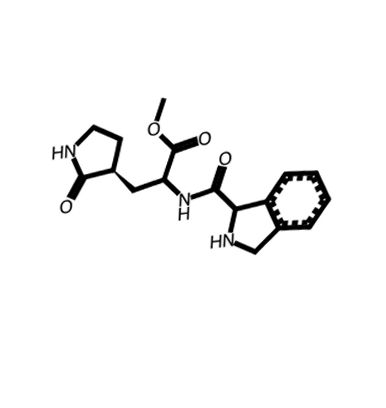 COC(=O)C(C[C@@H]1CCNC1=O)NC(=O)C1NCc2ccccc21